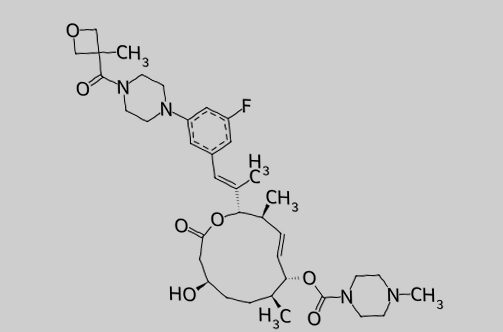 C/C(=C\c1cc(F)cc(N2CCN(C(=O)C3(C)COC3)CC2)c1)[C@H]1OC(=O)C[C@H](O)CC[C@H](C)[C@@H](OC(=O)N2CCN(C)CC2)/C=C/[C@@H]1C